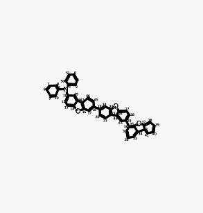 c1ccc(N(c2ccccc2)c2ccc3oc4cc(-c5ccc6c(c5)oc5ccc(-c7cccc8c7oc7ccccc78)cc56)ccc4c3c2)cc1